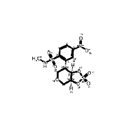 CNS(=O)(=O)c1ccc([N+](=O)[O-])cc1[C@H]1COC[C@@H]2OS(=O)(=O)O[C@@H]21